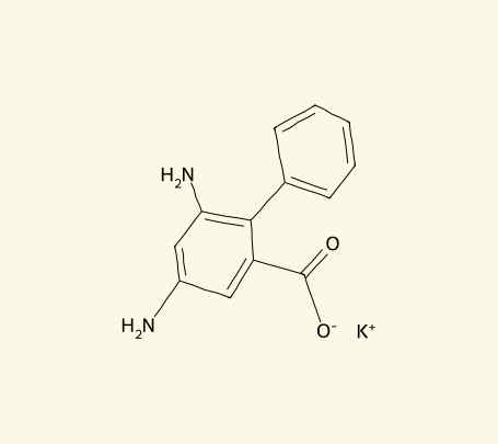 Nc1cc(N)c(-c2ccccc2)c(C(=O)[O-])c1.[K+]